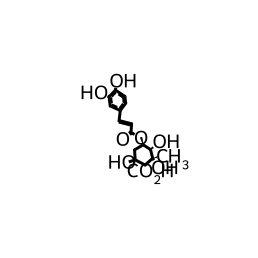 C[C@]1(O)C[C@](O)(C(=O)O)C[C@@H](OC(=O)/C=C/c2ccc(O)c(O)c2)[C@H]1O